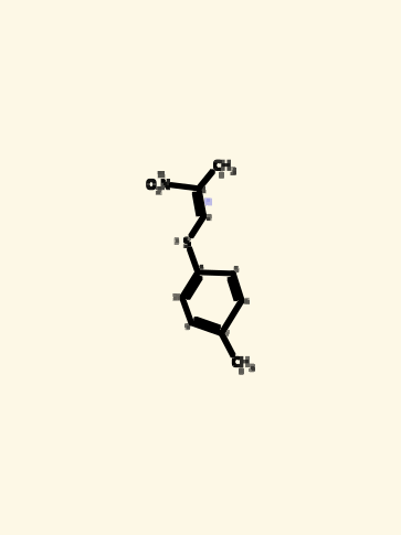 C/C(=C/Sc1ccc(C)cc1)[N+](=O)[O-]